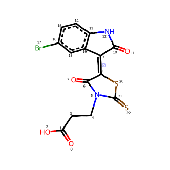 O=C(O)CCN1C(=O)/C(=C2/C(=O)Nc3ccc(Br)cc32)SC1=S